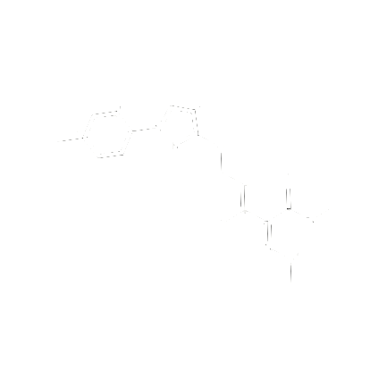 CNC(=O)C(=N\OC)/C(C)=C/COc1ccn(-c2ccc(Cl)cc2)n1